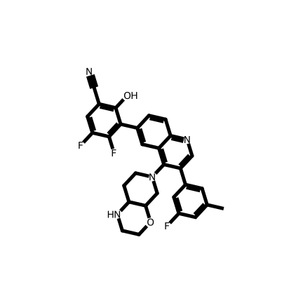 Cc1cc(F)cc(-c2cnc3ccc(-c4c(O)c(C#N)cc(F)c4F)cc3c2N2CCC3NCCOC3C2)c1